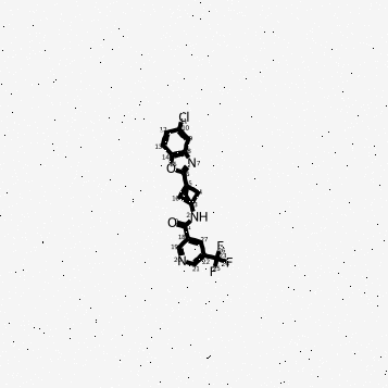 O=C(NC12CC(c3nc4cc(Cl)ccc4o3)(C1)C2)c1cncc(C(F)(F)F)c1